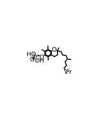 Cc1c(C)c2c(c(C)c1OCP(=O)(O)O)CCC(C)(CCCC(C)CCCC(C)C)O2